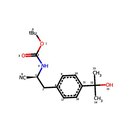 CC(C)(C)OC(=O)N[C@H](C#N)Cc1ccc(C(C)(C)O)cc1